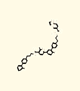 Cc1nc(-c2ccc(F)c(-c3ccc(CCCNC(=O)C4=CN5C=CNC5C=C4)cc3)c2)ccc1C(=O)NCCCc1ccc(-c2ccccc2F)cc1